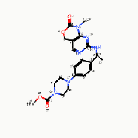 CC(C)N1C(=O)OCc2cnc(N[C@@H](C)c3ccc(N4CCN(C(=O)OC(C)(C)C)CC4)cc3)nc21